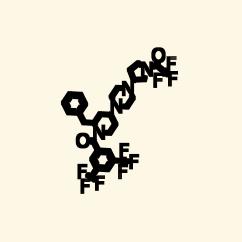 O=C(c1cc(C(F)(F)F)cc(C(F)(F)F)c1)N1CCC(N2CCN(C3CCN(C(=O)C(F)(F)F)C3)CC2)CC1Cc1ccccc1